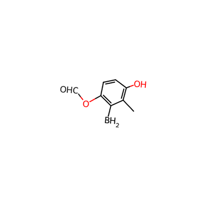 Bc1c(OC=O)ccc(O)c1C